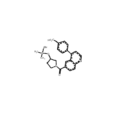 CC(C)(C)[Si](C)(C)OC1CCN(C(=O)c2ccc3nccc(-c4ccc(C(=O)O)cc4)c3c2)C1